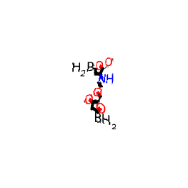 B[C@H]1CC(NCCOC[C@H]2O[C@@H](B)CC2OC)[C@@H](COC)O1